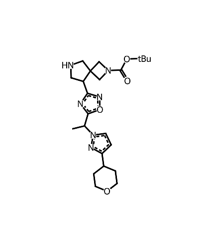 CC(c1nc(C2CNCC23CN(C(=O)OC(C)(C)C)C3)no1)n1ccc(C2CCOCC2)n1